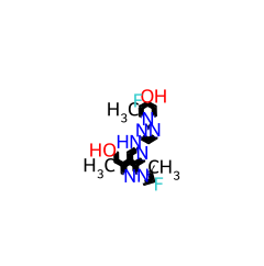 C[C@H](CO)c1cnc(N2C[C@@H](F)[C@H]2C)c2cnc(Nc3ccnc(N4CCC(O)C(C)(F)C4)n3)cc12